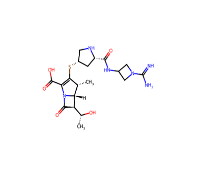 C[C@@H](O)[C@H]1C(=O)N2C(C(=O)O)=C(S[C@@H]3CN[C@H](C(=O)NC4CN(C(=N)N)C4)C3)[C@H](C)[C@H]12